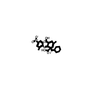 CC1=CC(C(=O)O)([C@@H](C)C2CCCCC2)C(=Nc2ccc([N+](=O)[O-])cc2C)C(C(=O)O)=C1